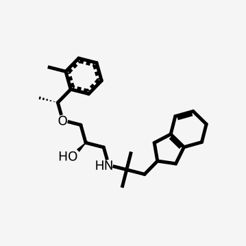 Cc1ccccc1[C@@H](C)OC[C@H](O)CNC(C)(C)CC1CC2=C(CCC=C2)C1